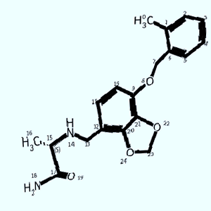 Cc1ccccc1COc1ccc(CN[C@@H](C)C(N)=O)c2c1OCO2